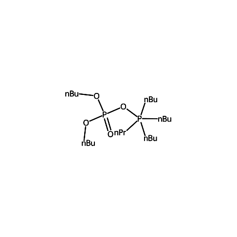 CCCCOP(=O)(OCCCC)OP(CCC)(CCCC)(CCCC)CCCC